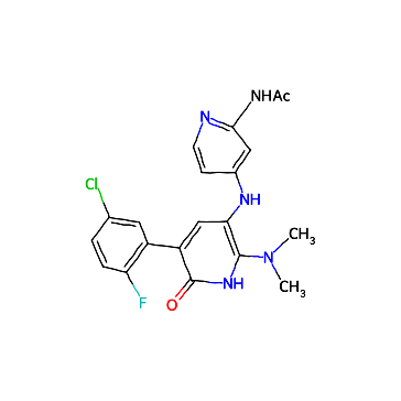 CC(=O)Nc1cc(Nc2cc(-c3cc(Cl)ccc3F)c(=O)[nH]c2N(C)C)ccn1